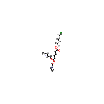 CCC/C=C/COC(CCCCC(=O)OCCCCCCBr)OC/C=C/CCC